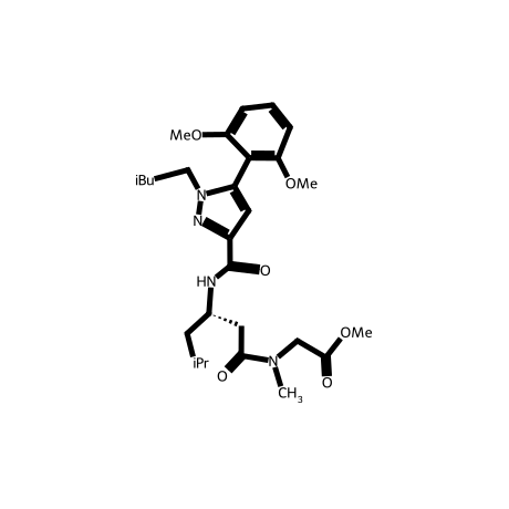 CCC(C)Cn1nc(C(=O)N[C@H](CC(=O)N(C)CC(=O)OC)CC(C)C)cc1-c1c(OC)cccc1OC